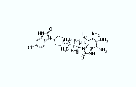 Bc1c(B)c(B)c2c([nH]c(=O)n2C(B)(B)C(B)(B)C(B)(B)N2CCC(n3c(=O)[nH]c4cc(Cl)ccc43)CC2)c1B